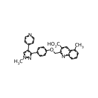 Cc1cccc2nc(COc3ccc(-c4nn(C)cc4-c4ccncc4)cc3)c(C(=O)O)cc12